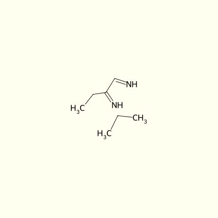 CCC.CCC(=N)C=N